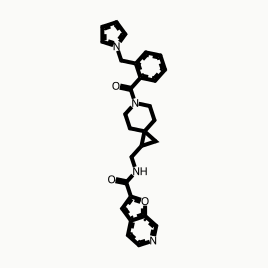 O=C(NCC1CC12CCN(C(=O)c1ccccc1Cn1cccc1)CC2)c1cc2ccncc2o1